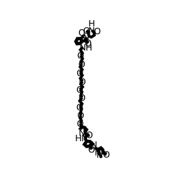 Cn1nc(-c2nc3cc(NC(=O)c4ccc(OCCOCCOCCOCCOCCOCCOCCOCCOCCNc5cccc6c5C(=O)N(C5CCC(=O)NC5=O)C6=O)cn4)ccc3o2)ccc1=O